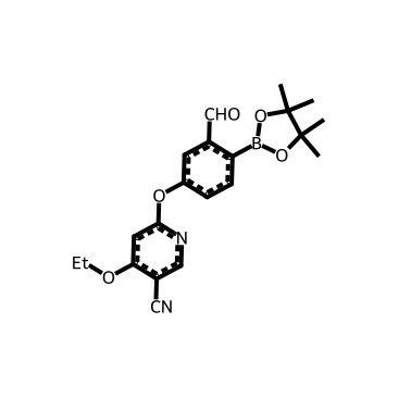 CCOc1cc(Oc2ccc(B3OC(C)(C)C(C)(C)O3)c(C=O)c2)ncc1C#N